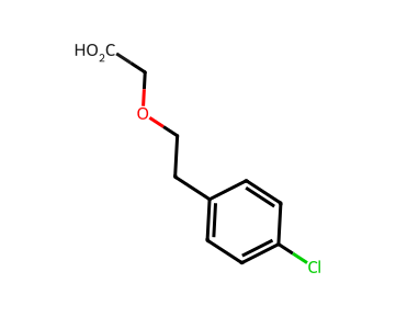 O=C(O)COCCc1ccc(Cl)cc1